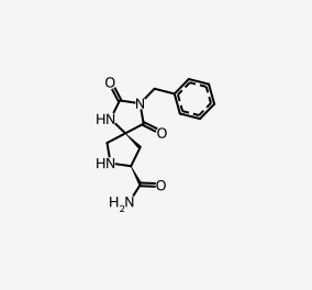 NC(=O)[C@@H]1C[C@@]2(CN1)NC(=O)N(Cc1ccccc1)C2=O